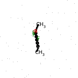 CCCCCCCCOc1ccc(-c2ccc(-c3ccc(C4CCC(C5CCC(CCCCC)CC5)CC4)cc3F)cc2)c(F)c1F